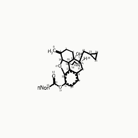 C=C1CC[C@@]2(O)[C@H]3Cc4ccc(OC(=O)CCCCCCCCC)c5c4[C@@]2(CCN3CC2CC2)C1O5